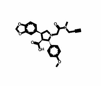 C#CCN(C)C(=O)CN1C[C@H](c2ccc3c(c2)OCO3)[C@H](C(=O)O)[C@H]1c1ccc(OC)cc1